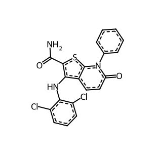 NC(=O)c1sc2c(ccc(=O)n2-c2ccccc2)c1Nc1c(Cl)cccc1Cl